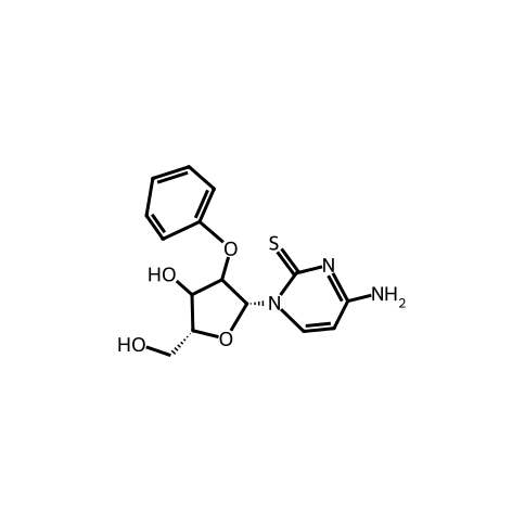 Nc1ccn([C@@H]2O[C@H](CO)C(O)C2Oc2ccccc2)c(=S)n1